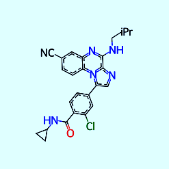 CC(C)CNc1nc2cc(C#N)ccc2n2c(-c3ccc(C(=O)NC4CC4)c(Cl)c3)cnc12